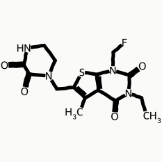 CCn1c(=O)c2c(C)c(CN3CCNC(=O)C3=O)sc2n(CF)c1=O